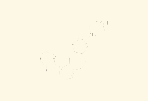 CC=C1CCc2cc(N3CCNCC3)ccc2C=C1Nc1ncccc1C